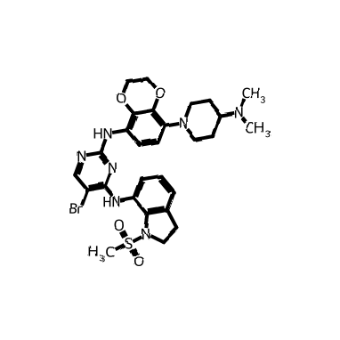 CN(C)C1CCN(c2ccc(Nc3ncc(Br)c(Nc4cccc5c4N(S(C)(=O)=O)CC5)n3)c3c2OCCO3)CC1